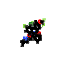 CC1(OC(F)F)C=CC(C(N)=O)=C(c2c(Cl)c(F)cc3c2C[C@@](CNCC2CC2)(c2ccccc2)O3)C1F